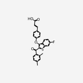 Cc1ccc(C(=O)c2sc3cc(F)ccc3c2Oc2ccc(/C=C/C(=O)O)cc2)c(C)c1